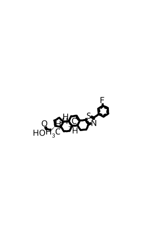 C[C@@]12CC[C@H]3[C@H](CC=C4c5sc(-c6cccc(F)c6)nc5CC[C@@]43C)[C@@H]1CC[C@H]2CC(=O)O